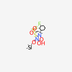 CC1(c2cccc(F)c2F)C=C(S(C)(=O)=O)SC(N(COCC[Si](C)(C)C)C(=O)O)=N1